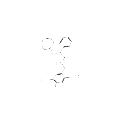 COc1cc(C)c(C)cc1CNCC(NC1CCCCC1)c1ccccc1